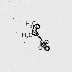 Cc1cccc(-c2nc(C)cc(C#CCON3C(=O)c4ccccc4C3=O)n2)n1